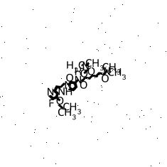 CC(C)COc1c(F)cnc2cc(Cn3cccc(NC(=O)C(CC/C=C/C(=O)N(C)C)OC(=O)N(C)C)c3=O)[nH]c12